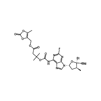 C#C[C@]1(CC)O[C@@H](n2cnc3c(NC(=O)OC(C)(C)CC(=O)OCc4oc(=O)oc4C)nc(F)nc32)C[C@@H]1C